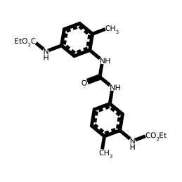 CCOC(=O)Nc1ccc(C)c(NC(=O)Nc2ccc(C)c(NC(=O)OCC)c2)c1